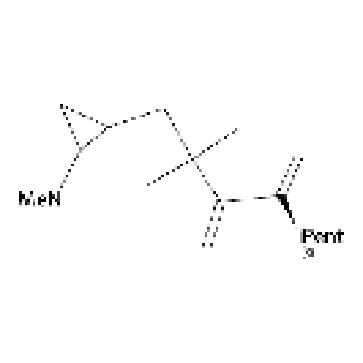 C=C(C(=C)C(C)(C)CC1CC1NC)[C@H](C)CCC